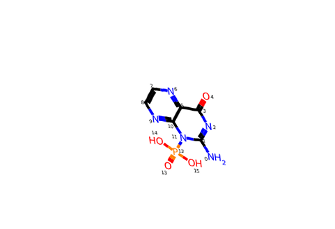 Nc1nc(=O)c2nccnc2n1P(=O)(O)O